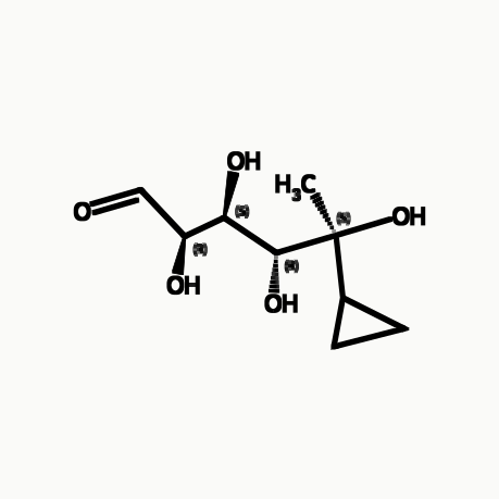 C[C@](O)(C1CC1)[C@H](O)[C@H](O)[C@@H](O)C=O